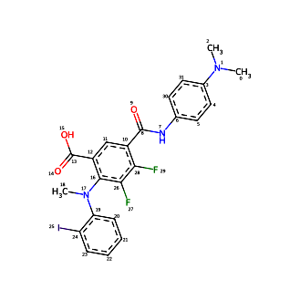 CN(C)c1ccc(NC(=O)c2cc(C(=O)O)c(N(C)c3ccccc3I)c(F)c2F)cc1